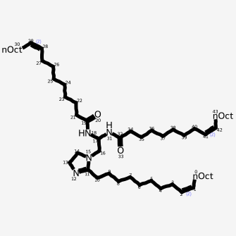 CCCCCCCC/C=C\CCCCCCCCC1=NCCN1CC(NC(=O)CCCCCCC/C=C\CCCCCCCC)NC(=O)CCCCCCC/C=C\CCCCCCCC